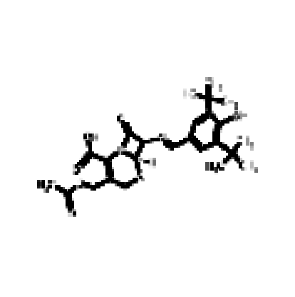 CC(=O)OCC1=C(C(=O)O)N2C(=O)[C@@H](N=Cc3cc(C(C)(C)C)c(O)c(C(C)(C)C)c3)[C@H]2SC1